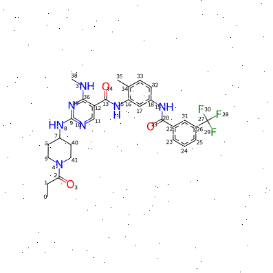 CCC(=O)N1CCC(Nc2ncc(C(=O)Nc3cc(NC(=O)c4cccc(C(F)(F)F)c4)ccc3C)c(NC)n2)CC1